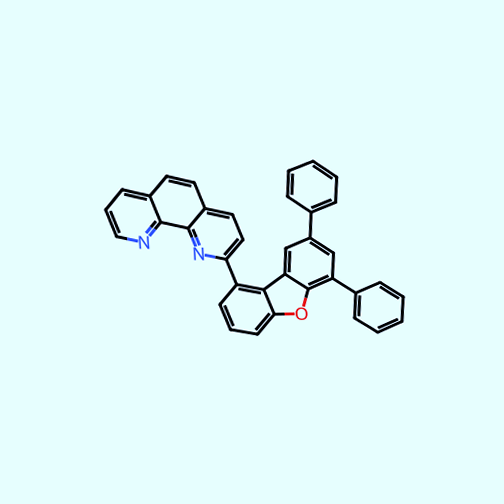 c1ccc(-c2cc(-c3ccccc3)c3oc4cccc(-c5ccc6ccc7cccnc7c6n5)c4c3c2)cc1